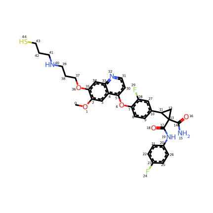 COc1cc2c(Oc3ccc(C4CC4(C(N)=O)C(=O)Nc4ccc(F)cc4)cc3F)ccnc2cc1OCCCNCCCS